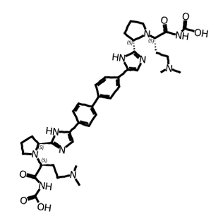 CN(C)CC[C@@H](C(=O)NC(=O)O)N1CCC[C@H]1c1ncc(-c2ccc(-c3ccc(-c4cnc([C@@H]5CCCN5[C@@H](CCN(C)C)C(=O)NC(=O)O)[nH]4)cc3)cc2)[nH]1